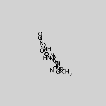 CCS(=O)(=O)N1CC(CC#N)(n2cc(-c3ccnc(Nc4ccc(C(=O)NC5CCN(CCOC=O)CC5)cc4)n3)cn2)C1